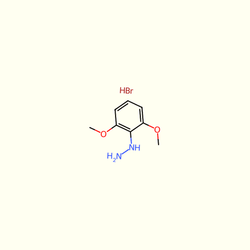 Br.COc1cccc(OC)c1NN